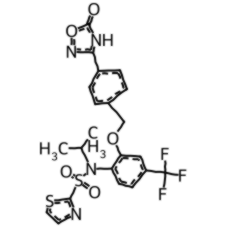 CC(C)N(c1ccc(C(F)(F)F)cc1OCc1ccc(-c2noc(=O)[nH]2)cc1)S(=O)(=O)c1nccs1